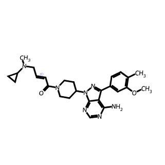 COc1cc(-c2nn(C3CCN(C(=O)/C=C/CN(C)C4CC4)CC3)c3ncnc(N)c23)ccc1C